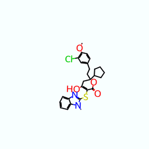 COc1ccc(CCC2(C3CCCC3)CC(O)=C(Sc3nc4ccccc4n3C)C(=O)O2)cc1Cl